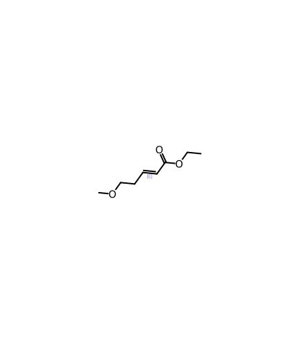 CCOC(=O)/C=C/CCOC